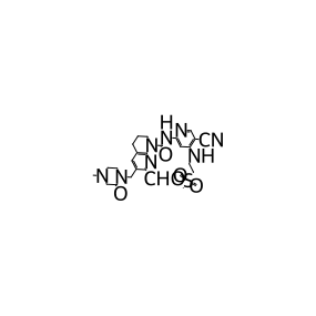 CN1CCN(Cc2cc3c(nc2C=O)N(C(=O)Nc2cc(NCCS(C)(=O)=O)c(C#N)cn2)CCC3)C(=O)C1